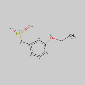 CCOc1cccc(C[SH](=O)=O)c1